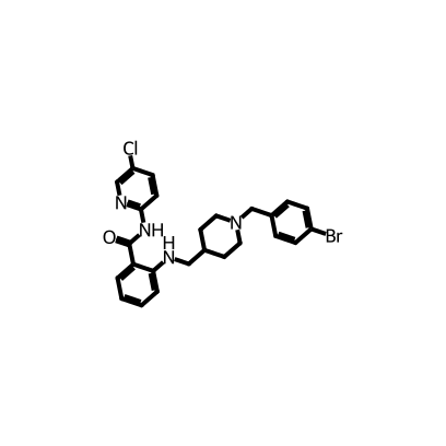 O=C(Nc1ccc(Cl)cn1)c1ccccc1NCC1CCN(Cc2ccc(Br)cc2)CC1